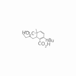 CCCCC1=C(C(=O)O)C(CC2CCCC2)C(C)(C(=O)O)C=C1